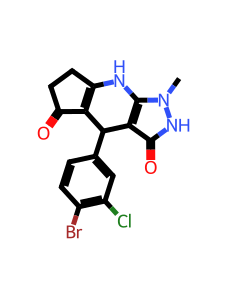 Cn1[nH]c(=O)c2c1NC1=C(C(=O)CC1)C2c1ccc(Br)c(Cl)c1